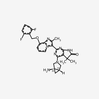 Cc1nc2c(OCc3c(F)cccc3F)cccn2c1-c1nc2c(c(N3C[C@@H]4C[C@]4(N)C3)n1)C(C)(C)C(=O)N2